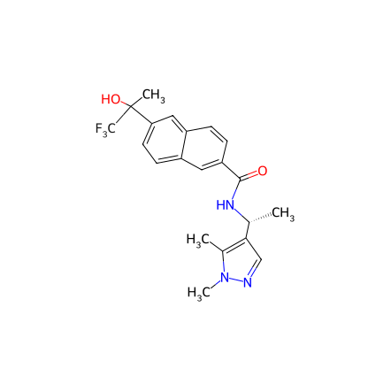 Cc1c([C@@H](C)NC(=O)c2ccc3cc(C(C)(O)C(F)(F)F)ccc3c2)cnn1C